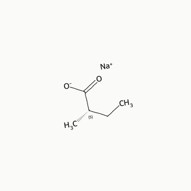 CC[C@H](C)C(=O)[O-].[Na+]